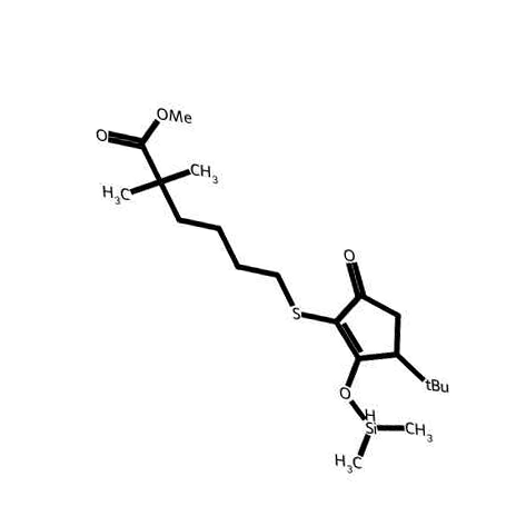 COC(=O)C(C)(C)CCCCSC1=C(O[SiH](C)C)C(C(C)(C)C)CC1=O